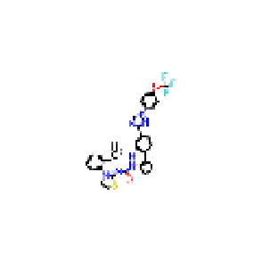 CCc1ccccc1N1CCS/C1=N\C(=O)NC1=C(c2ccc(-c3ncn(-c4ccc(OC(F)(F)F)cc4)n3)cc2)CCC1